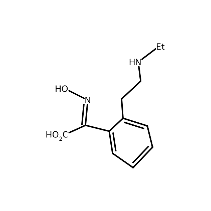 CCNCCc1ccccc1C(=NO)C(=O)O